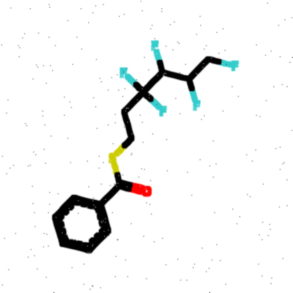 O=C(SCCC(F)(F)C(F)C(F)CF)c1ccccc1